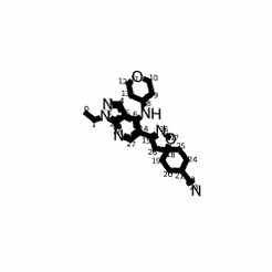 CCn1ncc2c(NC3CCOCC3)c(C3=NOC4(CCC(C#N)CC4)C3)cnc21